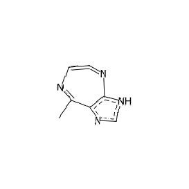 CC1=NC=C=Nc2[nH]cnc21